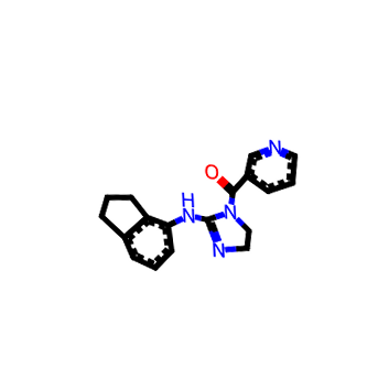 O=C(c1cccnc1)N1CCN=C1Nc1cccc2c1CCC2